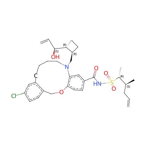 C=CC[C@H](C)[C@@H](C)S(=O)(=O)NC(=O)c1ccc2c(c1)N(C[C@@H]1CC[C@H]1[C@@H](O)C=C)CCCCc1cc(Cl)ccc1CO2